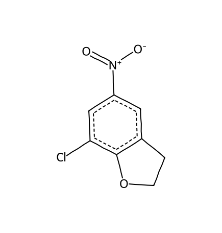 O=[N+]([O-])c1cc(Cl)c2c(c1)CCO2